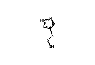 SSSc1cn[nH]n1